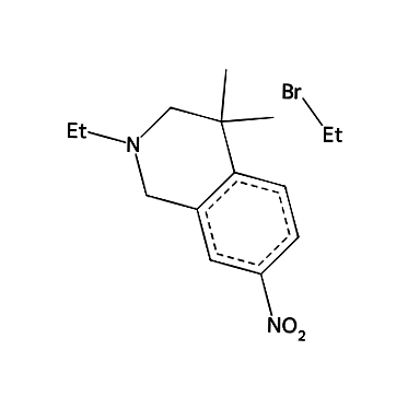 CCBr.CCN1Cc2cc([N+](=O)[O-])ccc2C(C)(C)C1